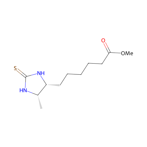 COC(=O)CCCCC[C@H]1NC(=S)N[C@H]1C